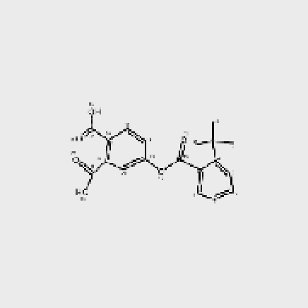 CC(C)(C)c1ccccc1C(=O)Oc1ccc(C(=O)O)c(C(=O)O)c1